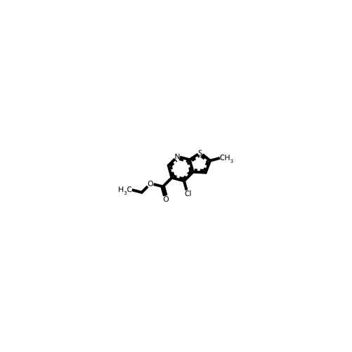 CCOC(=O)c1cnc2sc(C)cc2c1Cl